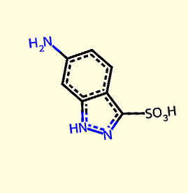 Nc1ccc2c(S(=O)(=O)O)n[nH]c2c1